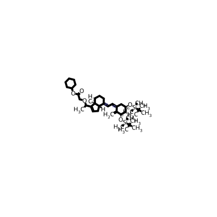 C=C1/C(=C\C=C2/CCC[C@]3(C)C(C(C)OCC(=O)OC4CCCCC4)=CC[C@@H]23)C[C@@H](O[Si](C)(C)C(C)(C)C)C[C@@H]1O[Si](C)(C)C(C)(C)C